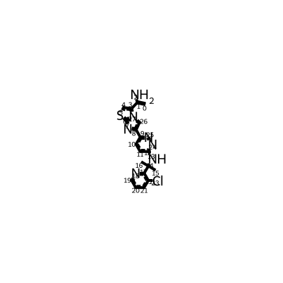 C=C(N)c1csc2nc(-c3ccc(NC(C)(C)c4ncccc4Cl)nn3)cn12